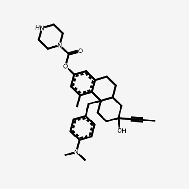 CC#CC1(O)CCC2(Cc3ccc(N(C)C)cc3)c3c(C)cc(OC(=O)N4CCNCC4)cc3CCC2C1